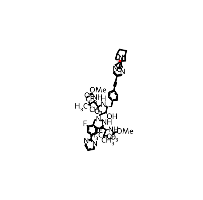 COC(=O)NC(C(=O)N[C@@H](Cc1ccc(C#Cc2cnc(N3CC4CCC(C3)N4C3COC3)nc2)cc1)[C@@H](O)CN(Cc1c(F)cc(-c2ncccn2)cc1F)NC(=O)[C@@H](NC(=O)OC)C(C)(C)C(F)(F)F)C(C)(C)C(F)(F)F